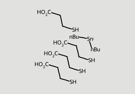 CCC[CH2][Sn][CH2]CCC.O=C(O)CCS.O=C(O)CCS.O=C(O)CCS.O=C(O)CCS